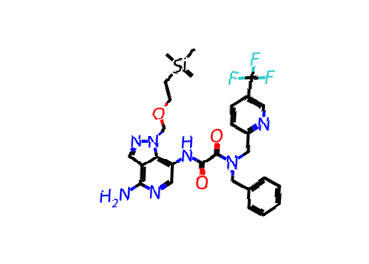 C[Si](C)(C)CCOCn1ncc2c(N)ncc(NC(=O)C(=O)N(Cc3ccccc3)Cc3ccc(C(F)(F)F)cn3)c21